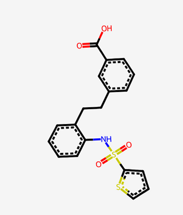 O=C(O)c1cccc(CCc2ccccc2NS(=O)(=O)c2cccs2)c1